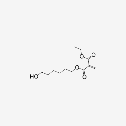 C=C(C(=O)OCC)C(=O)OCCCCCCO